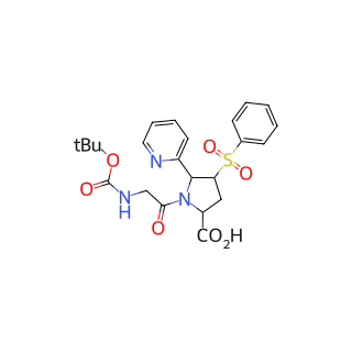 CC(C)(C)OC(=O)NCC(=O)N1C(C(=O)O)CC(S(=O)(=O)c2ccccc2)C1c1ccccn1